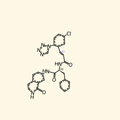 O=C(/C=C/c1cc(Cl)ccc1-n1cnnn1)N[C@@H](Cc1ccccc1)C(=O)Nc1ccc2cc[nH]c(=O)c2c1